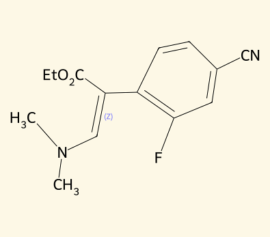 CCOC(=O)/C(=C\N(C)C)c1ccc(C#N)cc1F